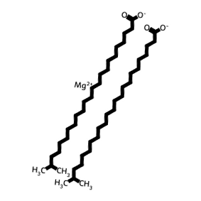 CC(C)CCCCCCCCCCCCCCCCCCCCC(=O)[O-].CC(C)CCCCCCCCCCCCCCCCCCCCC(=O)[O-].[Mg+2]